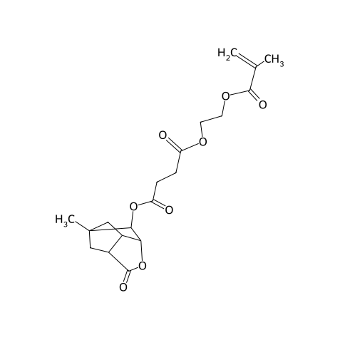 C=C(C)C(=O)OCCOC(=O)CCC(=O)OC1C2OC(=O)C3CC1(C)CC32